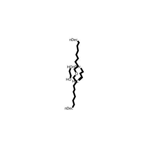 C=CCCCCCCCCCCCC.CCCCCCCCCCCCCCCCCCOCCCCCCCCCCCCCCCCCC.OCCO